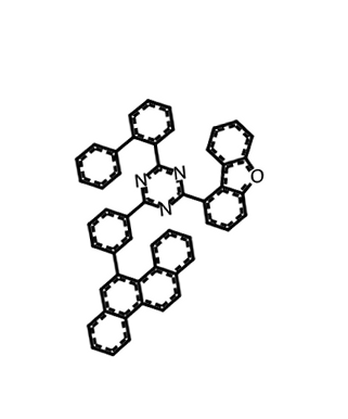 c1ccc(-c2ccccc2-c2nc(-c3cccc(-c4cc5ccccc5c5ccc6ccccc6c45)c3)nc(-c3cccc4oc5ccccc5c34)n2)cc1